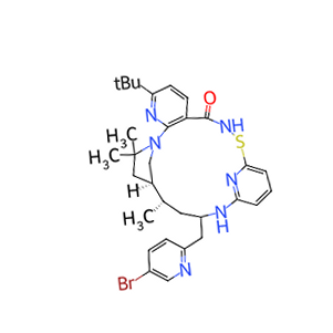 C[C@H]1CC(Cc2ccc(Br)cn2)Nc2cccc(n2)SNC(=O)c2ccc(C(C)(C)C)nc2N2C[C@@H]1CC2(C)C